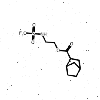 O=C(OCCNS(=O)(=O)C(F)(F)F)C1CC2CCC1C2